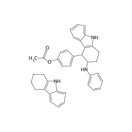 CC(=O)Oc1ccc(C2c3c([nH]c4ccccc34)CCC2Nc2ccccc2)cc1.c1ccc2c3c([nH]c2c1)CCCC3